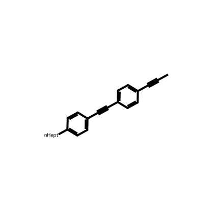 CC#Cc1ccc(C#Cc2ccc(CCCCCCC)cc2)cc1